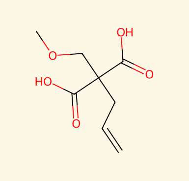 C=CCC(COC)(C(=O)O)C(=O)O